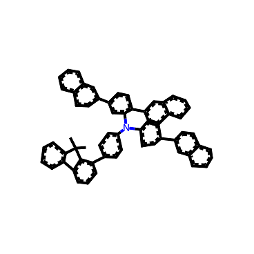 CC1(C)c2ccccc2-c2cccc(-c3ccc(N(c4ccc(-c5ccc6ccccc6c5)cc4)c4cc(-c5ccc6ccccc6c5)ccc4-c4ccc5ccccc5c4)cc3)c21